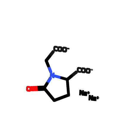 O=C([O-])CN1C(=O)CCC1C(=O)[O-].[Na+].[Na+]